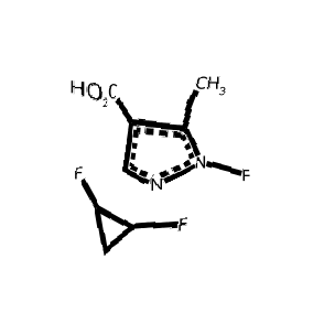 Cc1c(C(=O)O)cnn1F.FC1CC1F